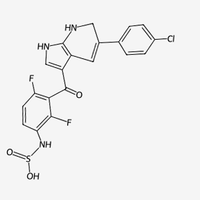 O=C(c1c[nH]c2c1C=C(c1ccc(Cl)cc1)CN2)c1c(F)ccc(NS(=O)O)c1F